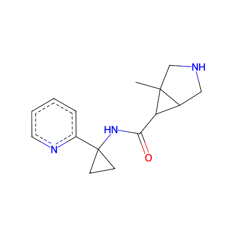 CC12CNCC1C2C(=O)NC1(c2ccccn2)CC1